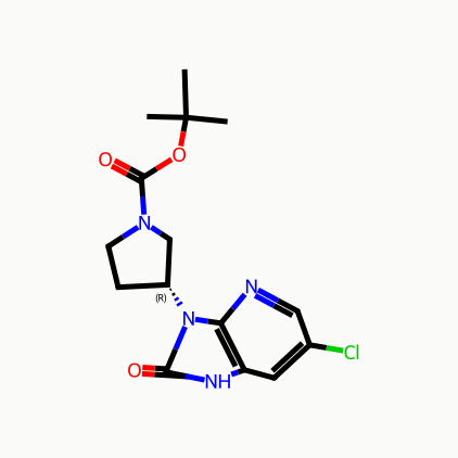 CC(C)(C)OC(=O)N1CC[C@@H](n2c(=O)[nH]c3cc(Cl)cnc32)C1